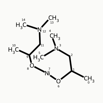 CC(CN(C)C)[O][Ni][O]C(C)CN(C)C